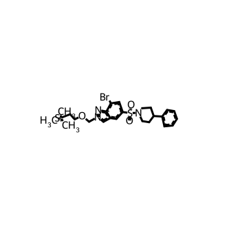 C[Si](C)(C)CCOCn1cc2cc(S(=O)(=O)N3CCC(c4ccccc4)CC3)cc(Br)c2n1